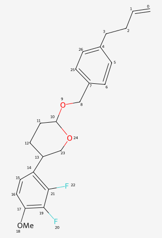 C=CCCc1ccc(COC2CCC(c3ccc(OC)c(F)c3F)CO2)cc1